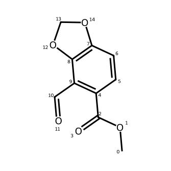 COC(=O)c1ccc2c(c1C=O)OCO2